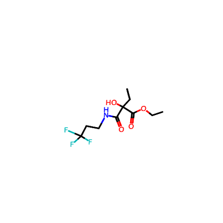 CCOC(=O)C(O)(CC)C(=O)NCCC(F)(F)F